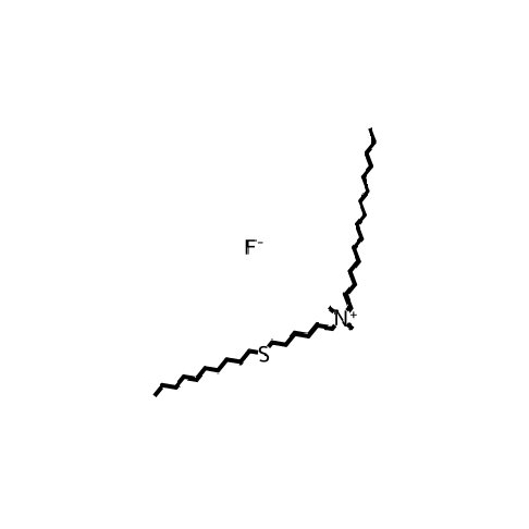 CCCCCCCCCCCCCCCC[N+](C)(C)CCCCCCSCCCCCCCCCC.[F-]